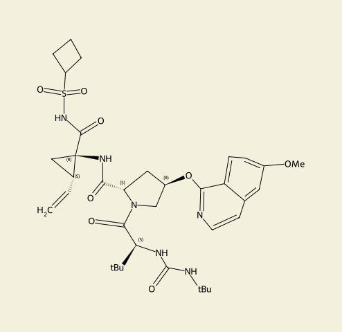 C=C[C@@H]1C[C@]1(NC(=O)[C@@H]1C[C@@H](Oc2nccc3cc(OC)ccc23)CN1C(=O)[C@@H](NC(=O)NC(C)(C)C)C(C)(C)C)C(=O)NS(=O)(=O)C1CCC1